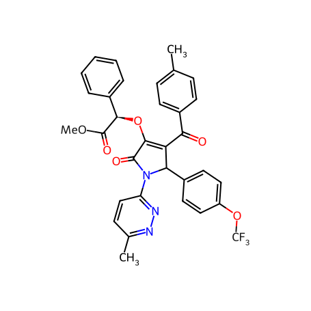 COC(=O)[C@H](OC1=C(C(=O)c2ccc(C)cc2)C(c2ccc(OC(F)(F)F)cc2)N(c2ccc(C)nn2)C1=O)c1ccccc1